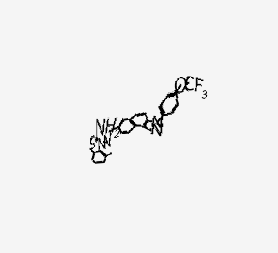 Cc1cccc(C)c1N(/N=C/c1ccc2c(ccc3c2cnn3-c2ccc(OC(F)(F)F)cc2)c1)C(N)=S